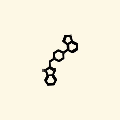 c1ccc2[nH]c(CN3CCN(c4cccc5sccc45)CC3)nc2c1